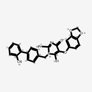 CCCc1nc(=O)c(Oc2ccc3c(c2)OCO3)c(CC)n1Cc1ccc(-c2ccccc2C#N)cc1